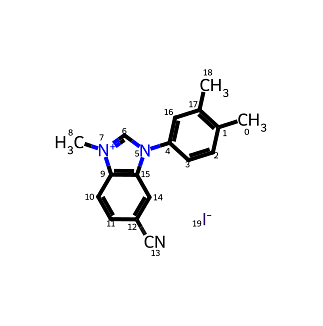 Cc1ccc(-n2c[n+](C)c3ccc(C#N)cc32)cc1C.[I-]